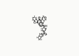 Cc1ccccc1-c1cc2cnc(NC3CCN(C(=O)NCC4CCCC4)CC3)nc2n(C2CCOCC2)c1=O